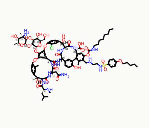 CCCCCCCCNC(=O)Oc1cc2c(c(C)c1CNCCNS(=O)(=O)c1ccc(OCCCCC)cc1)-c1cc(ccc1O)[C@H]1NC(=O)[C@@H]3NC(=O)[C@H](CC(N)=O)NC(=O)[C@H](NC(=O)[C@@H](CC(C)C)NC)[C@H](O)c4ccc(c(C)c4)Oc4cc3cc(c4O[C@@H]3O[C@H](CO)[C@@H](O)[C@H](O)[C@H]3O[C@H]3C[C@](C)(N)[C@H](O)[C@H](C)O3)Oc3ccc(cc3Cl)[C@@H](O)[C@H](NC1=O)C(=O)N[C@@H]2C(=O)O